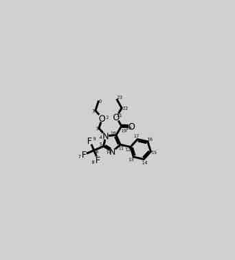 CCOCn1c(C(F)(F)F)nc(-c2ccccc2)c1C(=O)OCC